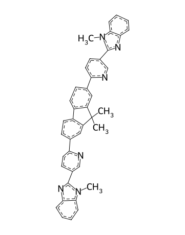 Cn1c(-c2ccc(-c3ccc4c(c3)C(C)(C)c3cc(-c5ccc(-c6nc7ccccc7n6C)cn5)ccc3-4)nc2)nc2ccccc21